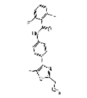 Cc1oc(CC(F)(F)F)nc1-c1ccc(NC(=O)c2c(F)cccc2F)cc1